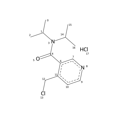 CC(C)N(C(=O)c1cnccc1CCl)C(C)C.Cl